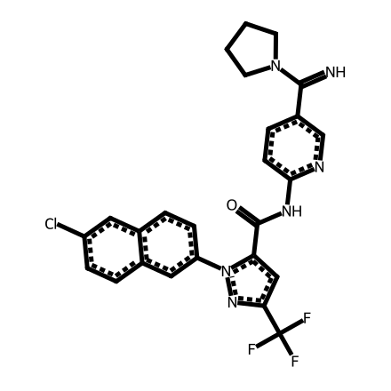 N=C(c1ccc(NC(=O)c2cc(C(F)(F)F)nn2-c2ccc3cc(Cl)ccc3c2)nc1)N1CCCC1